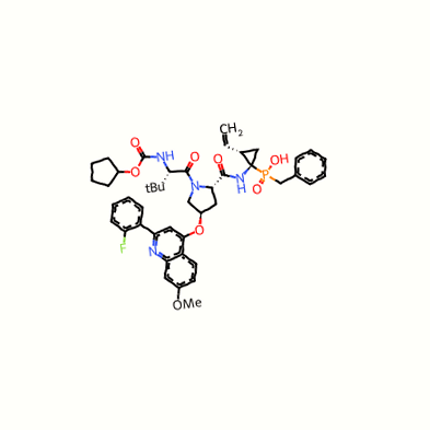 C=C[C@@H]1C[C@]1(NC(=O)[C@@H]1C[C@@H](Oc2cc(-c3ccccc3F)nc3cc(OC)ccc23)CN1C(=O)[C@@H](NC(=O)OC1CCCC1)C(C)(C)C)P(=O)(O)Cc1ccccc1